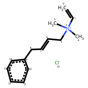 C=C[N+](C)(C)CC=CCc1ccccc1.[Cl-]